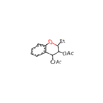 CCC1Oc2ccccc2C(OC(C)=O)C1OC(C)=O